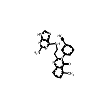 C#Cc1cccc(-n2c(CCNc3nc(N)nc4[nH]cnc34)nc3cccc(C)c3c2=O)c1